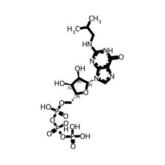 CC(C)CNc1nc2c(ncn2[C@@H]2O[C@H](COP(=O)(O)OP(=O)(O)OP(=O)(O)O)[C@@H](O)[C@H]2O)c(=O)[nH]1